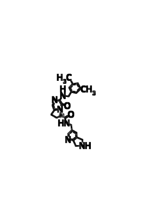 Cc1cc(C)cc(CNc2ncc3n(c2=O)[C@H](C(=O)NCc2cnc4c(c2)CNC4)CC3)c1